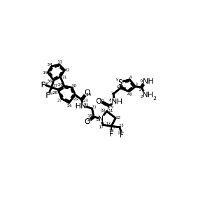 N=C(N)c1csc(CNC(=O)[C@@H]2C[C@](F)(CF)CN2C(=O)CNC(=O)c2ccc3c(c2)-c2ccccc2C3(F)F)c1